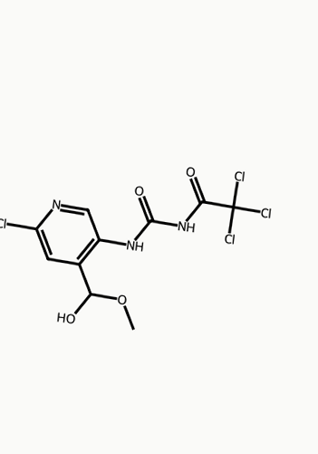 COC(O)c1cc(Cl)ncc1NC(=O)NC(=O)C(Cl)(Cl)Cl